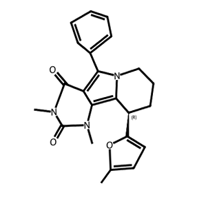 Cc1ccc([C@@H]2CCCn3c(-c4ccccc4)c4c(=O)n(C)c(=O)n(C)c4c32)o1